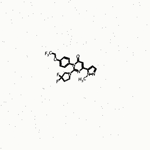 Cn1nccc1-c1cc(=O)n(-c2ccc(OCC(F)(F)F)cc2)c(N2CCC(F)(F)C2)n1